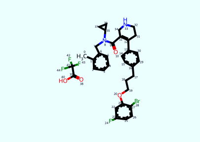 Cc1ccccc1CN(C(=O)C1=C(c2ccc(CCCOc3cc(F)ccc3Br)cc2)CCNC1)C1CC1.O=C(O)C(F)(F)F